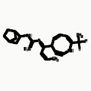 C=C(/N=C(\C=C/C)C1C#CN/C(C(F)(F)P)=C\C=C/1)NC1CC2CCC1C2